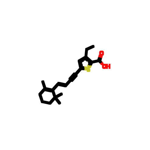 CCc1cc(C#CC=CC2=C(C)CCCC2(C)C)sc1C(=O)O